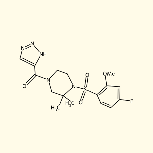 COc1cc(F)ccc1S(=O)(=O)N1CCN(C(=O)c2cnn[nH]2)CC1(C)C